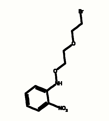 O=[N+]([O-])c1ccccc1NOCCOCCBr